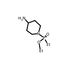 CCOP(=O)(CC)N1CCC(N)CC1